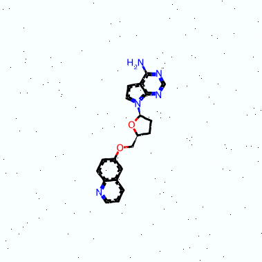 Nc1ncnc2c1ccn2[C@H]1CC[C@@H](COc2ccc3ncccc3c2)O1